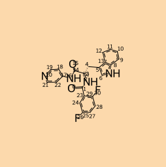 O=C(N[C@@H](Cc1c[nH]c2ccccc12)C(=O)Nc1ccncc1)c1cc(F)ccc1F